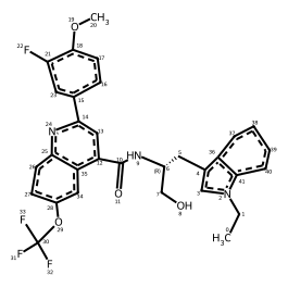 CCn1cc(C[C@H](CO)NC(=O)c2cc(-c3ccc(OC)c(F)c3)nc3ccc(OC(F)(F)F)cc23)c2ccccc21